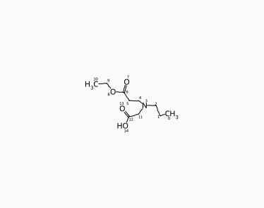 CCCN(CCC(=O)OCC)CC(=O)O